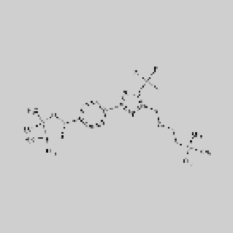 CC1(C)OB(c2ccc(-c3nc(C(F)(F)F)n(COCCS(C)(C)C)n3)cc2)OC1(C)C